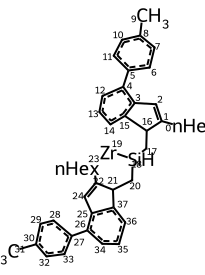 CCCCCCC1=Cc2c(-c3ccc(C)cc3)cccc2C1C[SiH]([Zr])CC1C(CCCCCC)=Cc2c(-c3ccc(C)cc3)cccc21